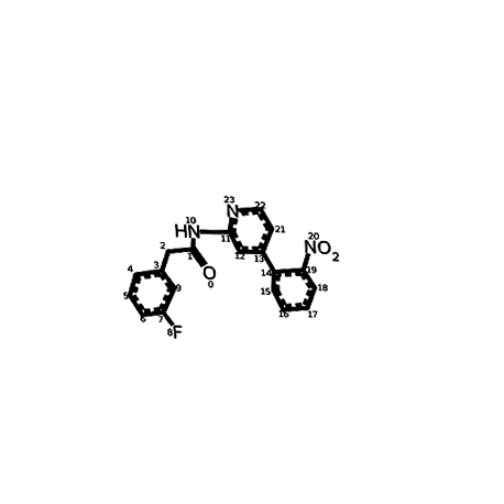 O=C(Cc1cccc(F)c1)Nc1cc(-c2ccccc2[N+](=O)[O-])ccn1